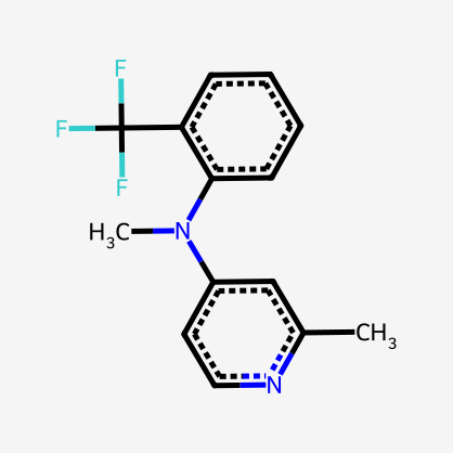 Cc1cc(N(C)c2ccccc2C(F)(F)F)ccn1